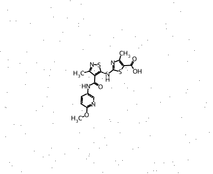 COc1ccc(NC(=O)c2c(C)nsc2Nc2nc(C)c(C(=O)O)s2)cn1